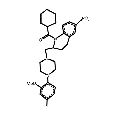 COc1cc(F)ccc1N1CCN(CC2CCc3cc([N+](=O)[O-])ccc3N2C(=O)C2CCCCC2)CC1